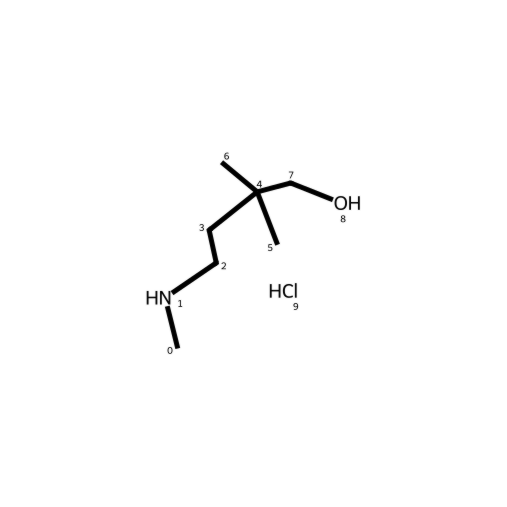 CNCCC(C)(C)CO.Cl